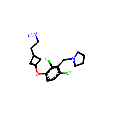 NCCC1CC(Oc2ccc(Cl)c(CN3CCCC3)c2Cl)C1